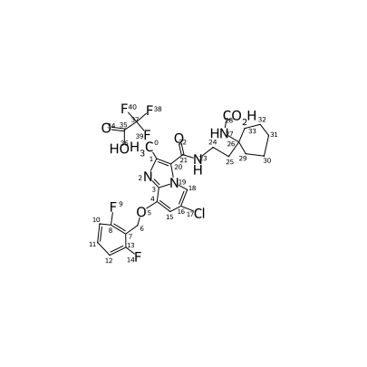 Cc1nc2c(OCc3c(F)cccc3F)cc(Cl)cn2c1C(=O)NCCC1(NC(=O)O)CCCCC1.O=C(O)C(F)(F)F